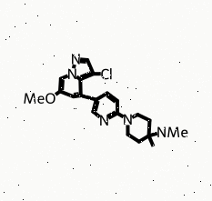 CNC1(C)CCN(c2ccc(-c3cc(OC)cn4ncc(Cl)c34)cn2)CC1